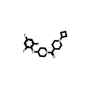 O=C(C1CCN(C2CCC2)CC1)N1CCC(Oc2c(F)cc(F)cc2F)CC1